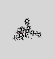 Cc1cc2c3c(c1)N(c1c(C)cc(C(C)(C)C)cc1C)c1c(ccc4c1OCCCO4)B3c1cc(-c3cc4ccccc4o3)ccc1N2c1ccc(-c2cc3ccccc3o2)cc1